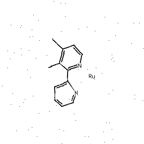 Cc1ccnc(-c2ccccn2)c1C.[Ru]